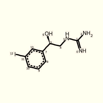 N=C(N)NC[C@H](O)c1cccc(I)c1